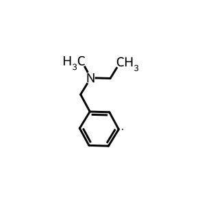 CCN(C)Cc1c[c]ccc1